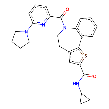 O=C(NC1CC1)c1cc2c(s1)-c1ccccc1N(C(=O)c1cccc(N3CCCC3)n1)CC2